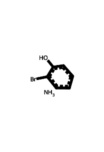 N.Oc1ccccc1Br